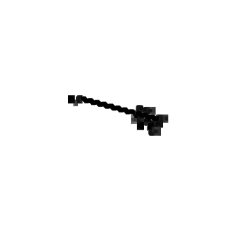 CCCCCCCCCCCCCCCCNC(=O)C(O)C(O)C(CCO)OC(O)CO